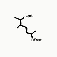 [CH2]CCCCC(C)C(C)CCC(C)CCC[CH]C